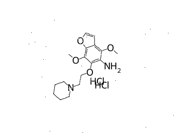 COc1c(N)c(OCCN2CCCCC2)c(OC)c2occc12.Cl.Cl